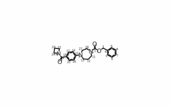 O=C(OCc1ccccc1)N1CCCN(c2ccc(C(=O)N3CCC3)cc2)CC1